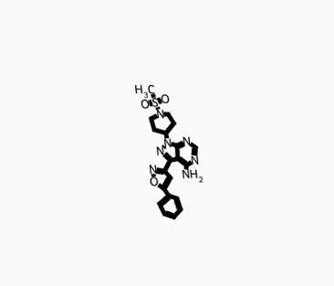 CS(=O)(=O)N1CCC(n2nc(-c3cc(-c4ccccc4)on3)c3c(N)ncnc32)CC1